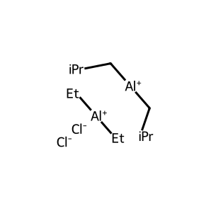 CC(C)[CH2][Al+][CH2]C(C)C.C[CH2][Al+][CH2]C.[Cl-].[Cl-]